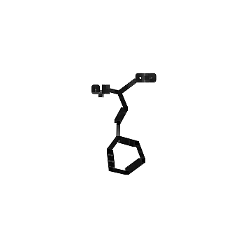 O=CC(/C=C/c1ccccc1)[N+](=O)[O-]